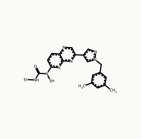 CCNC(=O)N(S)c1ccc2ncc(-c3cnn(Cc4cc(C)cc(C)c4)c3)nc2n1